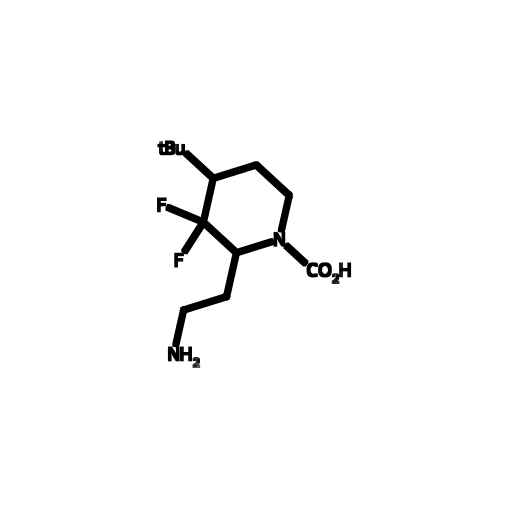 CC(C)(C)C1CCN(C(=O)O)C(CCN)C1(F)F